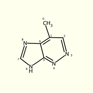 Cc1cnnc2[nH]cnc12